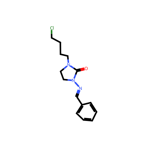 O=C1N(CCCCCl)CCN1N=Cc1ccccc1